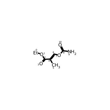 CCOC(=O)C(C)=COC(N)=O